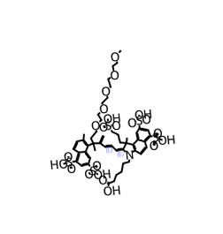 C=C(/C=C/C=C1/N(CCCCCC(=O)O)c2ccc3c(S(=O)(=O)O)cc(S(=O)(=O)O)cc3c2C1(C)CCCS(=O)(=O)O)C(C)(CCOCCOCCOCCOCCOC)c1c(C)ccc2c(S(=O)(=O)O)cc(S(=O)(=O)O)cc12